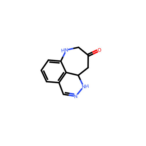 O=C1CNc2cccc3c2C(C1)NN=C3